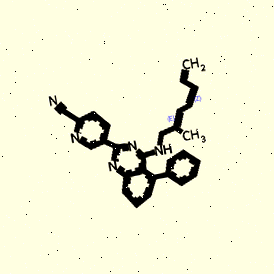 C=C/C=C\C=C(/C)CNc1nc(-c2ccc(C#N)nc2)nc2cccc(-c3ccccc3)c12